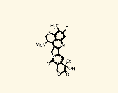 CC[C@@]1(O)C(=O)OCc2c1cc1n(c2=O)Cc2c-1nc1cc(F)c(C)c3c1c2C(NC)CS3